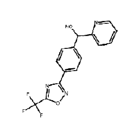 OC(c1ccc(-c2noc(C(F)(F)F)n2)cc1)c1ccccn1